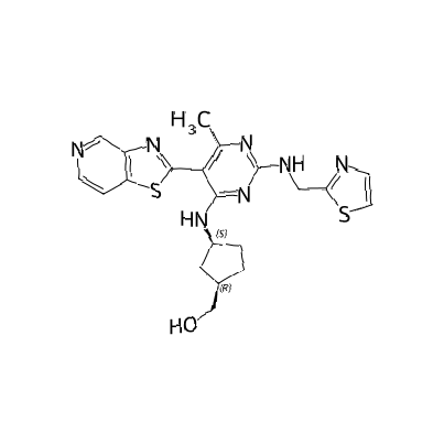 Cc1nc(NCc2nccs2)nc(N[C@H]2CC[C@@H](CO)C2)c1-c1nc2cnccc2s1